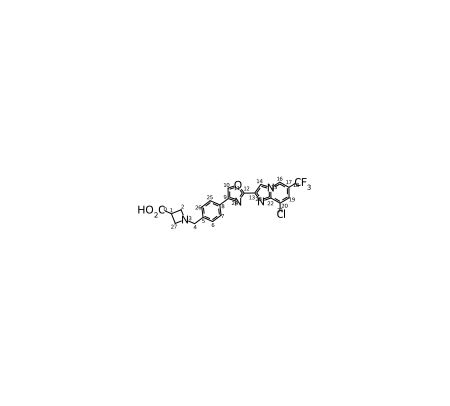 O=C(O)C1CN(Cc2ccc(-c3coc(-c4cn5cc(C(F)(F)F)cc(Cl)c5n4)n3)cc2)C1